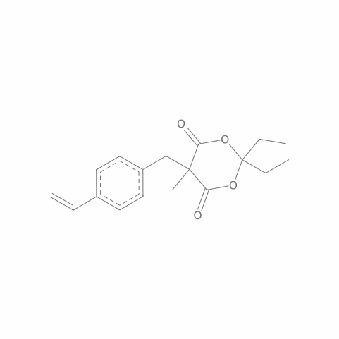 C=Cc1ccc(CC2(C)C(=O)OC(CC)(CC)OC2=O)cc1